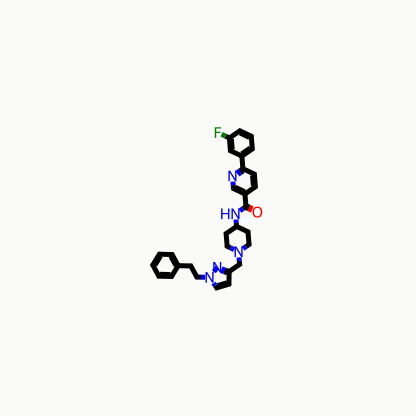 O=C(NC1CCN(Cc2ccn(CCc3ccccc3)n2)CC1)c1ccc(-c2cccc(F)c2)nc1